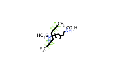 CC(CCNC(=O)O)CC(C)(C)C(CC(F)(F)C(F)(F)C(F)(F)C(F)(F)F)(CC(F)(F)C(F)(F)C(F)(F)C(F)(F)F)NC(=O)O